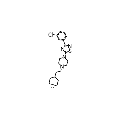 Clc1cccc(-c2nsc(N3CCN(CCC4CCOCC4)CC3)n2)c1